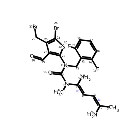 C/C(N)=C/C=C(\N)N(C)C(=O)N(Cc1c(F)cccc1F)c1sc(Br)c(CBr)c1C=O